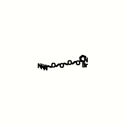 [N-]=[N+]=NCCOCCOCCOCCOc1cccnc1Br